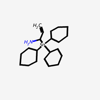 C=C[CH](N)[Sn]([CH]1CCCCC1)([CH]1CCCCC1)[CH]1CCCCC1